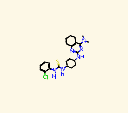 CN(C)c1nc(NC2CCC(NC(=S)Nc3ccccc3Cl)CC2)nc2c1CCCC2